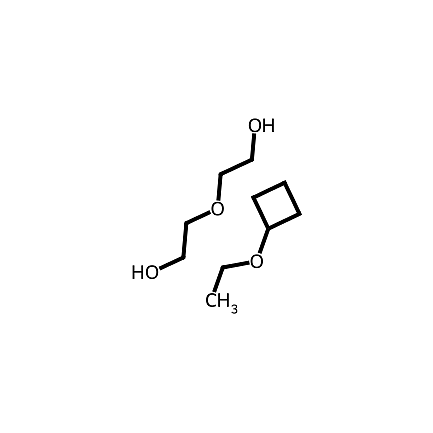 CCOC1CCC1.OCCOCCO